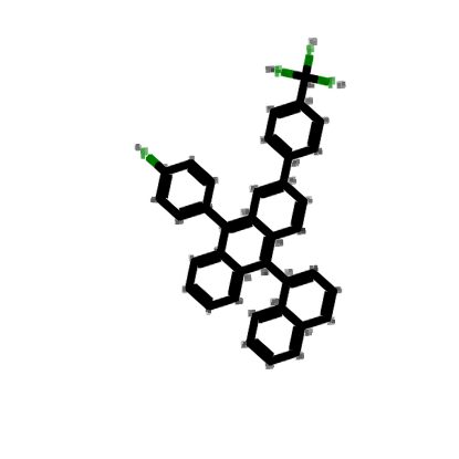 Fc1ccc(-c2c3ccccc3c(-c3cccc4ccccc34)c3ccc(-c4ccc(C(F)(F)F)cc4)cc23)cc1